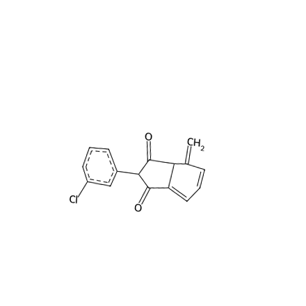 C=C1C=CC=C2C(=O)C(c3cccc(Cl)c3)C(=O)C12